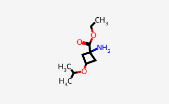 CCOC(=O)C1(N)CC(OC(C)C)C1